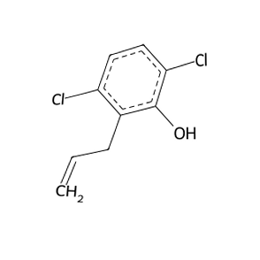 C=CCc1c(Cl)ccc(Cl)c1O